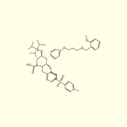 COc1ccccc1COCCCOc1ccc([C@H]2[C@H](O[Si](C(C)C)(C(C)C)C(C)C)CN(C(=O)O)C(Cc3ccccc3)[C@@H]2OCCOS(=O)(=O)c2ccc(C)cc2)cc1